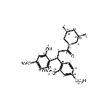 COc1cc(O)c(C(CC(=O)N2C[C@H](C)C[C@H](C)C2)c2ccc(C(=O)O)cc2Cl)c(OC)c1